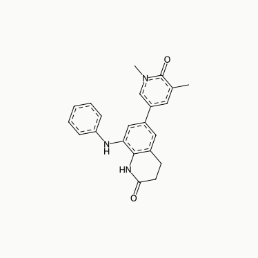 Cc1cc(-c2cc3c(c(Nc4ccccc4)c2)NC(=O)CC3)cn(C)c1=O